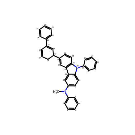 CN(c1ccccc1)c1ccc2c(c1)c1cc(C3C=C(c4ccccc4)C=CC3)ccc1n2-c1ccccc1